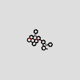 CC1CC=Cc2c1n(-c1ccccc1)c1ccc(-c3ccc(N(c4ccccc4)c4ccccc4-c4cccc5cccc(C6CCCCC6)c45)cc3)cc21